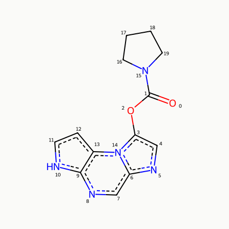 O=C(Oc1cnc2cnc3[nH]ccc3n12)N1CCCC1